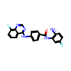 Nc1ccc(F)cc1NC(=O)c1ccc(Nc2ncnc3c(F)cccc23)cc1